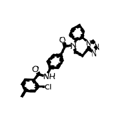 Cc1ccc(C(=O)Nc2ccc(C(=O)N3CCc4nncn4-c4ccccc43)cc2)c(Cl)c1